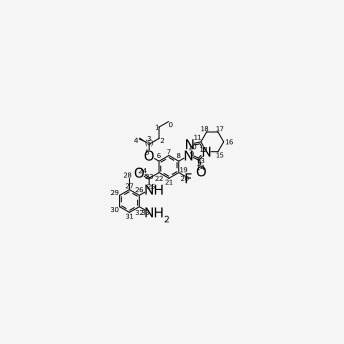 CCC[C@H](C)Oc1cc(-n2nc3n(c2=O)CCCC3)c(F)cc1C(=O)Nc1c(C)cccc1N